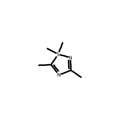 CC1=NS(C)(C)C(C)=N1